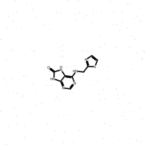 O=c1[nH]c2ncnc(NCc3nccs3)c2[nH]1